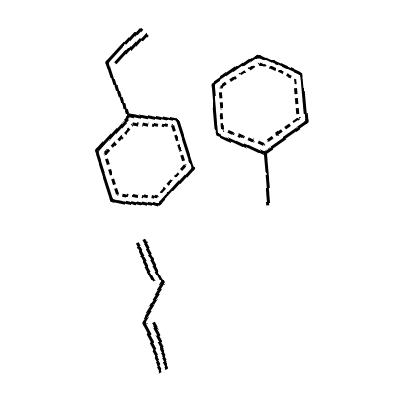 C=CC=C.C=Cc1ccccc1.Cc1ccccc1